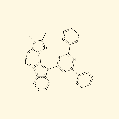 Cc1oc2c(ccc3c4ccccc4n(-c4cc(-c5ccccc5)nc(-c5ccccc5)n4)c32)c1C